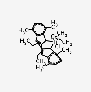 CCCC1=Cc2c(C)ccc(C)c2[CH]1[Ti]([Cl])([Cl])([CH]1C(CCC)=Cc2c(C)ccc(C)c21)[SiH](C)C